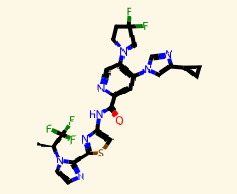 C[C@H](n1ccnc1-c1nc(NC(=O)c2cc(-n3cnc(C4CC4)c3)c(N3CCC(F)(F)C3)cn2)cs1)C(F)(F)F